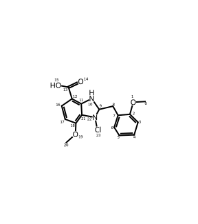 COc1ccccc1CC1Nc2c(C(=O)O)ccc(OC)c2N1Cl